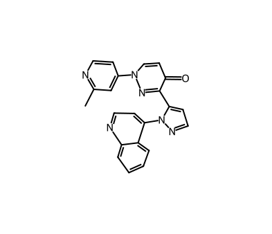 Cc1cc(-n2ccc(=O)c(-c3ccnn3-c3ccnc4ccccc34)n2)ccn1